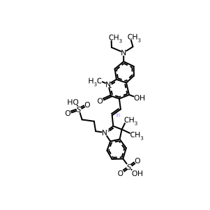 CCN(CC)c1ccc2c(O)c(/C=C/C3=[N+](CCCS(=O)(=O)O)c4ccc(S(=O)(=O)O)cc4C3(C)C)c(=O)n(C)c2c1